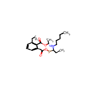 CCCCCNC(CC)SOC(=O)c1cccc(CC)c1C(=O)OCC